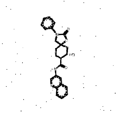 Cl.O=C(Nc1cnc2ccccc2c1)C1CCC2(CC1)CN(c1ccccc1)C(=O)O2